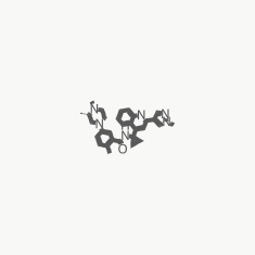 Cc1ccc(N2CCN(C)[C@@H](C)C2)cc1C(=O)NC1(c2cc(-c3cnn(C)c3)nc3ccccc23)CC1